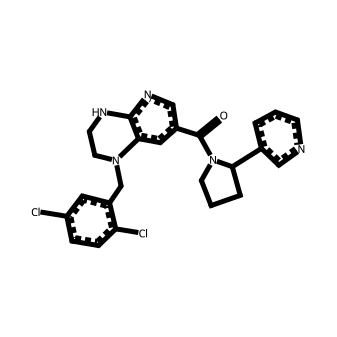 O=C(c1cnc2c(c1)N(Cc1cc(Cl)ccc1Cl)CCN2)N1CCCC1c1cccnc1